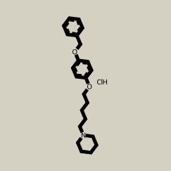 Cl.c1ccc(COc2ccc(OCCCCCN3CCCCC3)cc2)cc1